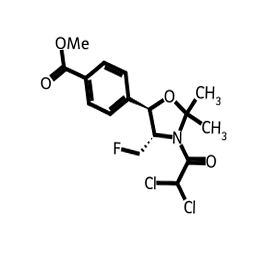 COC(=O)c1ccc([C@H]2OC(C)(C)N(C(=O)C(Cl)Cl)[C@@H]2CF)cc1